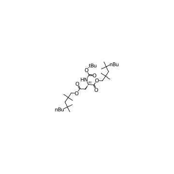 CCCCC(C)(C)CC(C)(C)COC(=O)C[C@@H](NC(=O)OC(C)(C)C)C(=O)OCC(C)(C)CC(C)(C)CCCC